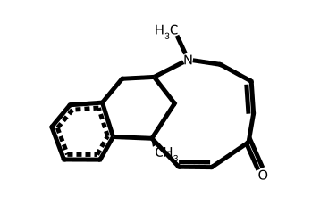 CN1C/C=C\C(=O)/C=C\[C@@]2(C)CC1Cc1ccccc12